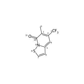 Cc1c(C(F)(F)F)cc2ccsn2c1=O